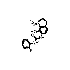 O=S=S1CCCc2ccc(NC(=O)Nc3ccccc3F)c(O)c21